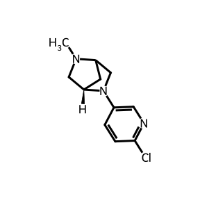 CN1C[C@@H]2CC1CN2c1ccc(Cl)nc1